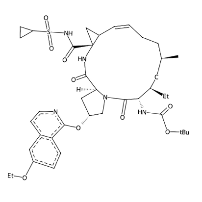 CCOc1ccc2c(O[C@@H]3C[C@H]4C(=O)N[C@]5(C(=O)NS(=O)(=O)C6CC6)CC5/C=C\CC[C@@H](C)C[C@@H](CC)[C@H](NC(=O)OC(C)(C)C)C(=O)N4C3)nccc2c1